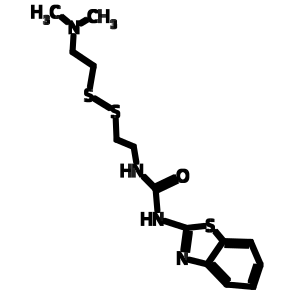 CN(C)CCSSCCNC(=O)Nc1nc2ccccc2s1